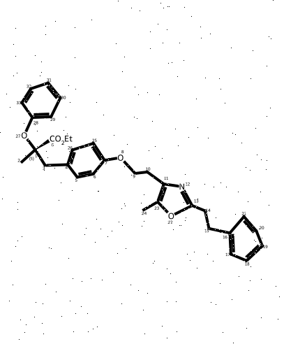 CCOC(=O)[C@](C)(Cc1ccc(OCCc2nc(CCc3ccccc3)oc2C)cc1)Oc1ccccc1